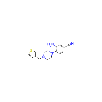 N#Cc1ccc(N2CCN(Cc3ccsc3)CC2)c(N)c1